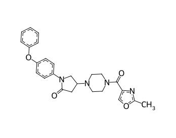 Cc1nc(C(=O)N2CCN(C3CC(=O)N(c4ccc(Oc5ccccc5)cc4)C3)CC2)co1